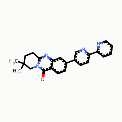 CC1(C)CCc2nc3cc(-c4ccc(-c5ccccn5)nc4)ccc3c(=O)n2C1